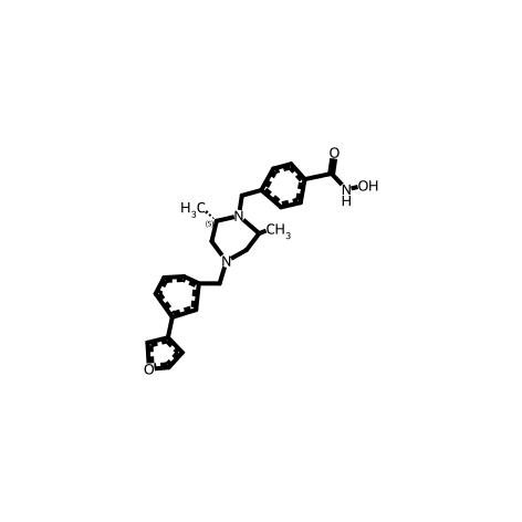 CC1CN(Cc2cccc(-c3ccoc3)c2)C[C@H](C)N1Cc1ccc(C(=O)NO)cc1